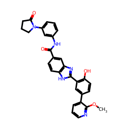 COc1ncccc1-c1ccc(O)c(-c2nc3cc(C(=O)Nc4cccc(N5CCCC5=O)c4)ccc3[nH]2)c1